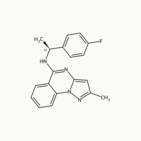 Cc1cc2nc(N[C@@H](C)c3ccc(F)cc3)c3ccccc3n2n1